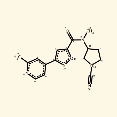 Cc1cc(-c2cc(C(=O)N(C)C3CCN(C#N)C3)on2)ccn1